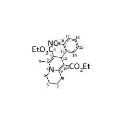 CCOC(=O)C1=C(C)N2CCCCC2=C(C(=O)OCC)C1c1ccccc1C#N